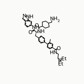 CCN(CC)CCNC(=O)c1ccc(-c2ccc(C[C@H](NC(=O)C3CCC(CN)CC3)C(=O)Nc3ccc4cn[nH]c4c3)cc2)c(C)c1